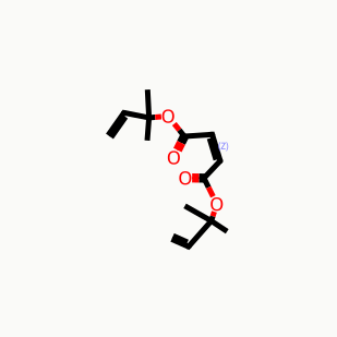 C=CC(C)(C)OC(=O)/C=C\C(=O)OC(C)(C)C=C